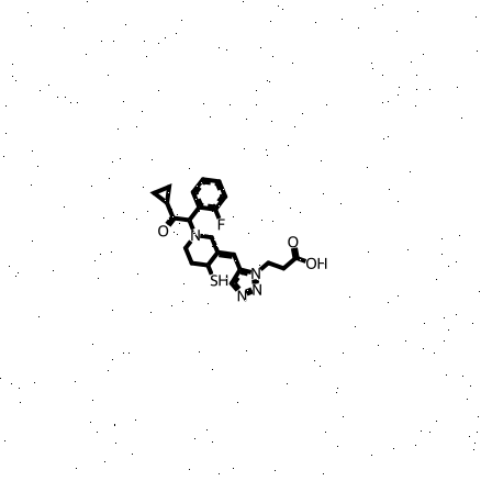 O=C(O)CCn1nncc1C=C1CN(C(C(=O)C2CC2)c2ccccc2F)CCC1S